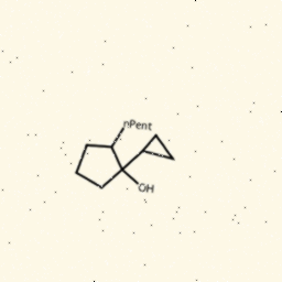 CCCCCC1CCCC1(O)C1CC1